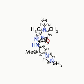 C=C(/N=C\C1=C(C)N(C2CCCC2)C(C)CC(=O)N1C)Nc1ccc(N2CCN(C)CC2)cc1OC